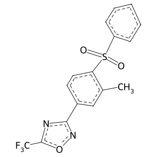 Cc1cc(-c2noc(C(F)(F)F)n2)ccc1S(=O)(=O)c1ccccc1